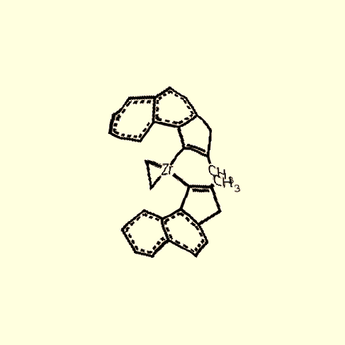 CC1=[C]([Zr]2([C]3=C(C)Cc4ccc5ccccc5c43)[CH2][CH2]2)c2c(ccc3ccccc23)C1